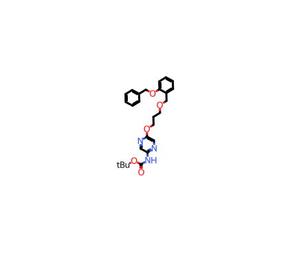 CC(C)(C)OC(=O)Nc1cnc(OCCCOCc2ccccc2OCc2ccccc2)cn1